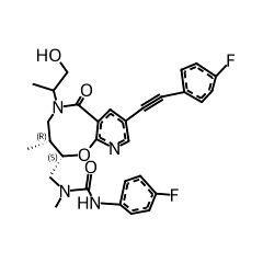 CC(CO)N1C[C@@H](C)[C@@H](CN(C)C(=O)Nc2ccc(F)cc2)Oc2ncc(C#Cc3ccc(F)cc3)cc2C1=O